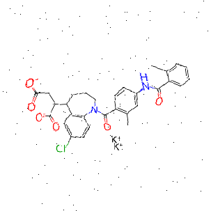 Cc1ccccc1C(=O)Nc1ccc(C(=O)N2CCCC(C(CC(=O)[O-])C(=O)[O-])c3cc(Cl)ccc32)c(C)c1.[K+].[K+]